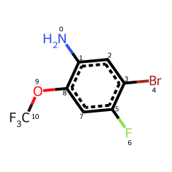 Nc1cc(Br)c(F)cc1OC(F)(F)F